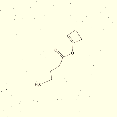 CCCCC(=O)OC1=CCC1